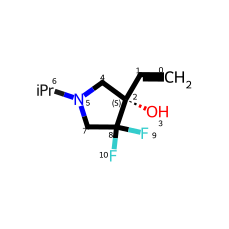 C=C[C@]1(O)CN(C(C)C)CC1(F)F